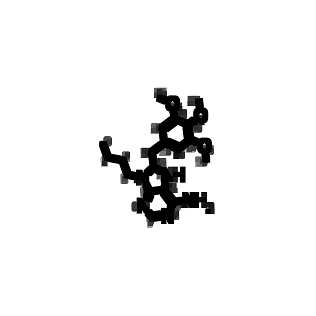 CCCCN1c2ncnc(N)c2NC1Cc1cc(OC)c(OC)c(OC)c1